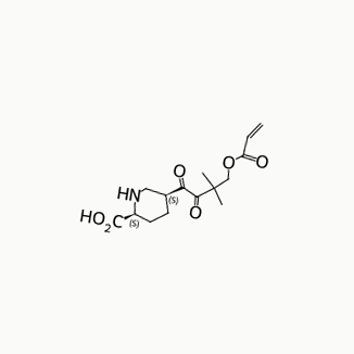 C=CC(=O)OCC(C)(C)C(=O)C(=O)[C@H]1CC[C@@H](C(=O)O)NC1